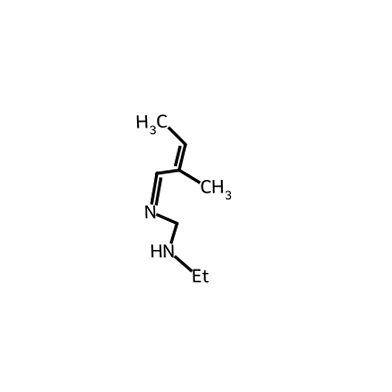 C/C=C(C)\C=N/CNCC